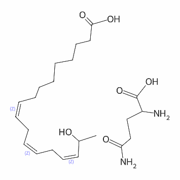 CC(O)/C=C\C/C=C\C/C=C\CCCCCCCC(=O)O.NC(=O)CCC(N)C(=O)O